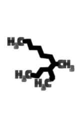 CCCCCCC(C)C(CC)CCC